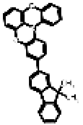 CC1(C)c2ccccc2-c2ccc(-c3ccc4c(c3)Oc3cccc5c3N4c3ccccc3O5)cc21